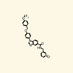 O=C(NCc1ccc[n+]([O-])c1)c1ccc2c(c1)ncn2-c1ccc(OCc2ccc(OC(F)(F)F)cc2)cc1